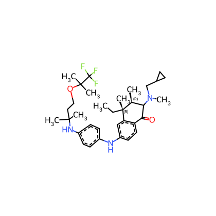 CC[C@@]1(C)c2cc(Nc3ccc(NC(C)(C)CCOC(C)(C)C(F)(F)F)cc3)ccc2C(=O)C(N(C)CC2CC2)[C@@H]1C